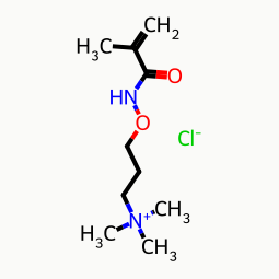 C=C(C)C(=O)NOCCC[N+](C)(C)C.[Cl-]